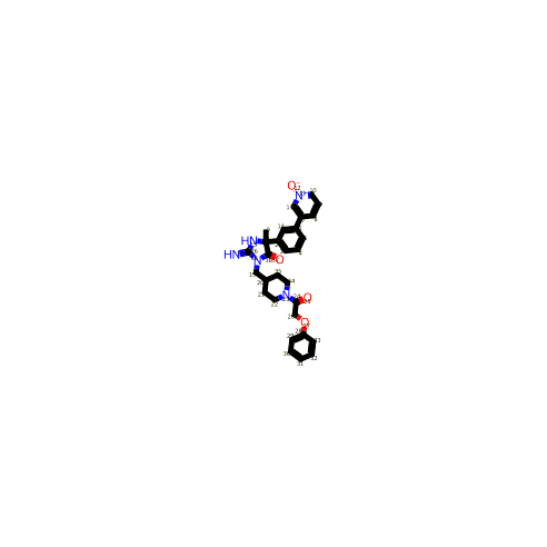 CC1(c2cccc(-c3ccc[n+]([O-])c3)c2)NC(=N)N(CC2CCN(C(=O)COc3ccccc3)CC2)C1=O